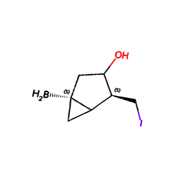 B[C@]12CC(O)[C@@H](CI)C1C2